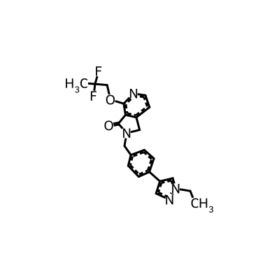 CCn1cc(-c2ccc(CN3Cc4ccnc(OCC(C)(F)F)c4C3=O)cc2)cn1